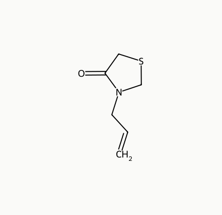 C=CCN1CSCC1=O